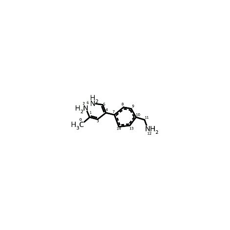 C/C(N)=C/C(=C\N)c1ccc(CN)cc1